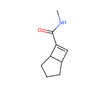 CNC(=O)C1=CC2CCCC12